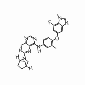 Cc1cc(Nc2ncnc3cnc(N4C[C@@H]5CC[C@H]4C5)nc23)ccc1Oc1cc(F)c2c(c1)ncn2C